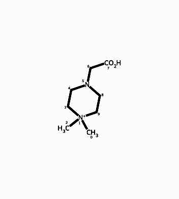 C[N+]1(C)CCN(CC(=O)O)CC1